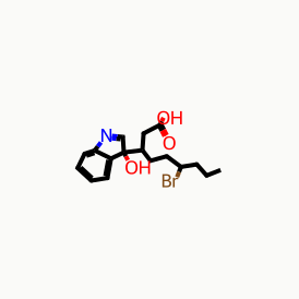 CCCC(Br)CCC(CC(=O)O)C1(O)C=Nc2ccccc21